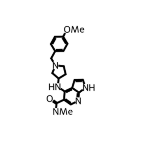 CNC(=O)c1cnc2[nH]ccc2c1NC1CCN(Cc2ccc(OC)cc2)C1